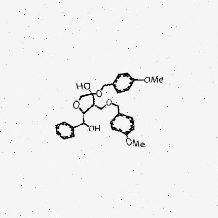 COc1ccc(COC[C@H]2[C@@H](C(O)c3ccccc3)OC[C@@]2(O)OCc2ccc(OC)cc2)cc1